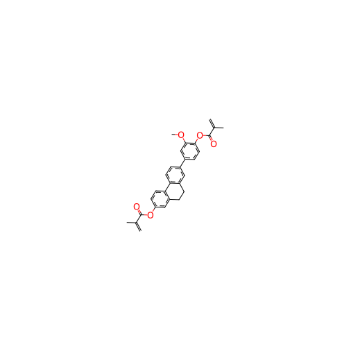 C=C(C)C(=O)Oc1ccc2c(c1)CCc1cc(-c3ccc(OC(=O)C(=C)C)c(OC)c3)ccc1-2